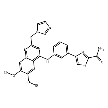 CCOc1cc2nc(Cn3ccnc3)nc(Nc3cccc(-c4csc(C(N)=O)n4)c3)c2cc1OCC